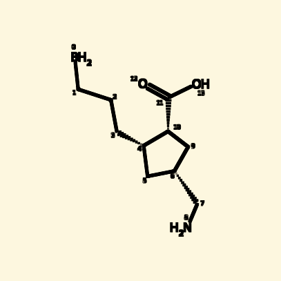 BCCC[C@H]1C[C@@H](CN)C[C@H]1C(=O)O